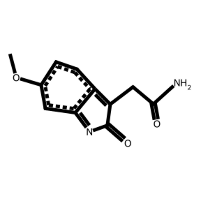 COc1ccc2c(c1)=NC(=O)C=2CC(N)=O